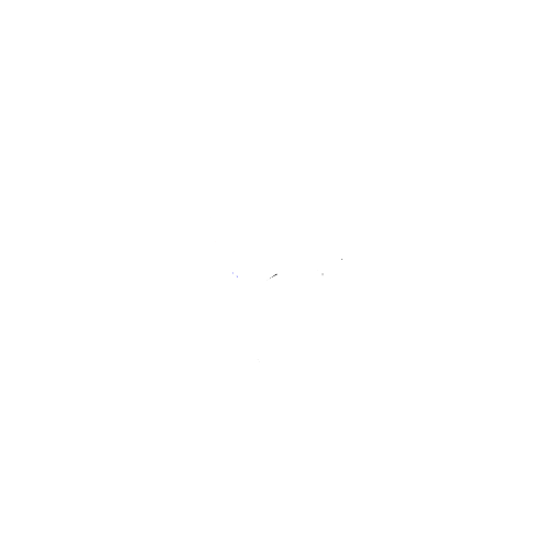 COC(=O)c1cccc2c1C[C@H](CO[Si](C)(C)C(C)(C)C)N(C(=O)Cc1cc(OC(C)C)ccc1Cl)[C@H]2C